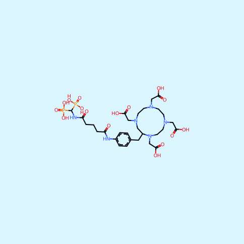 O=C(O)CN1CCN(CC(=O)O)CCN(CC(=O)O)C(Cc2ccc(NC(=O)CCCC(=O)NC(P(=O)(O)O)P(=O)(O)O)cc2)CN(CC(=O)O)CC1